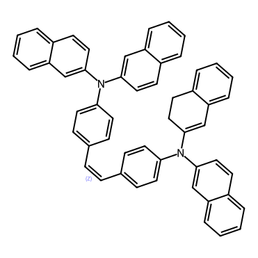 C1=C(N(c2ccc(/C=C\c3ccc(N(c4ccc5ccccc5c4)c4ccc5ccccc5c4)cc3)cc2)c2ccc3ccccc3c2)CCc2ccccc21